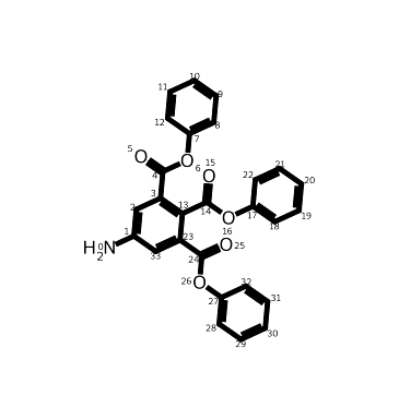 Nc1cc(C(=O)Oc2ccccc2)c(C(=O)Oc2ccccc2)c(C(=O)Oc2ccccc2)c1